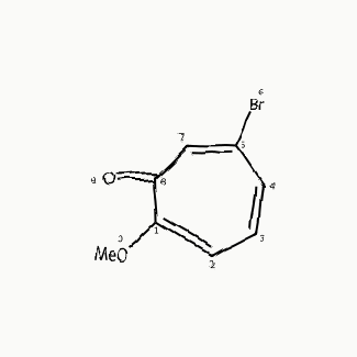 COc1cccc(Br)cc1=O